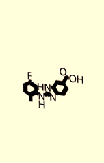 Cc1ccc(F)cc1Nc1nc2ccc(C(=O)O)cc2[nH]1